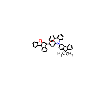 CC1(C)c2ccccc2-c2cc(N(c3ccc(-c4cc5oc6ccccc6c5c5ccccc45)cc3)c3ccccc3-c3ccccc3)ccc21